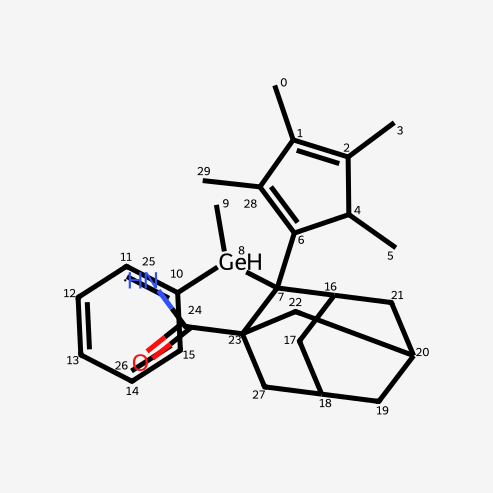 CC1=C(C)C(C)C([C]2([GeH]([CH3])[c]3ccccc3)C3CC4CC(C3)CC2(C([NH])=O)C4)=C1C